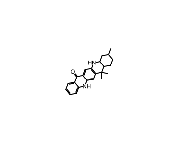 CC1CCC2C(C1)Nc1cc3c(=O)c4ccccc4[nH]c3cc1C2(C)C